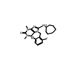 Cn1c(=O)c2c(nc(NC3CCCCCC3)n2Cc2c(F)cccc2Cl)n(C)c1=O